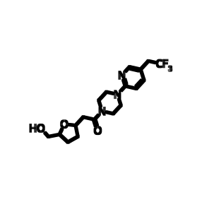 O=C(CC1CCC(CO)O1)N1CCN(c2ccc(CC(F)(F)F)cn2)CC1